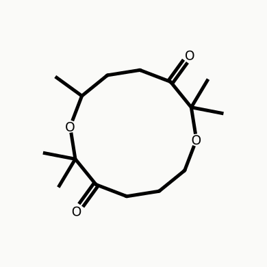 CC1CCC(=O)C(C)(C)OCCCC(=O)C(C)(C)O1